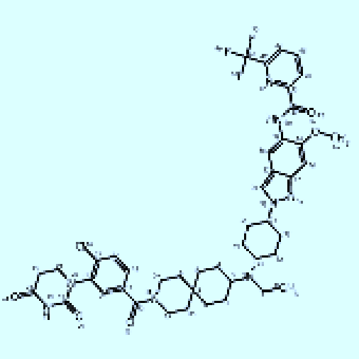 CCN(C1CCC2(CC1)CCN(C(=O)c1ccc(Cl)c(N3CCC(=O)NC3=O)c1)CC2)[C@H]1CC[C@H](n2cc3cc(NC(=O)c4cccc(C(F)(F)F)n4)c(OC)cc3n2)CC1